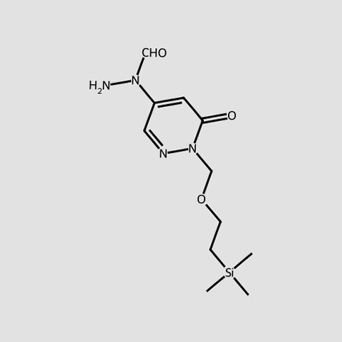 C[Si](C)(C)CCOCn1ncc(N(N)C=O)cc1=O